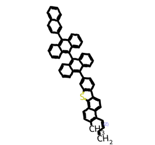 C=C/C=C\c1c(C)ccc2c1ccc1c3ccc(-c4c5ccccc5c(-c5c6ccccc6c(-c6ccc7ccccc7c6)c6ccccc56)c5ccccc45)cc3sc21